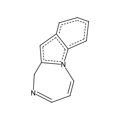 C1=Cn2c(cc3ccccc32)CN=C1